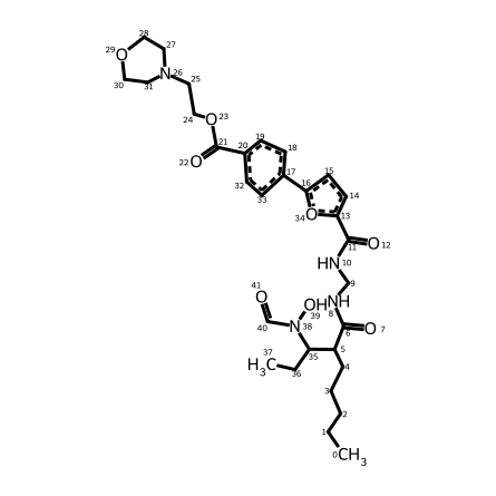 CCCCCC(C(=O)NCNC(=O)c1ccc(-c2ccc(C(=O)OCCN3CCOCC3)cc2)o1)C(CC)N(O)C=O